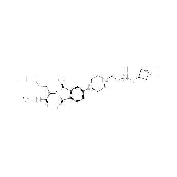 CNC(=O)C(CCC=O)N1C(=O)c2ccc(N3CCN(CCNSC4CNC4)CC3)cc2C1=O